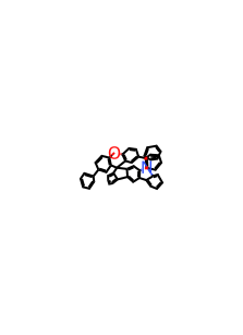 c1ccc(-c2ccc3c(c2)C2(c4cc(-c5ccccc5)ccc4O3)c3ccccc3-c3cc4c5ccccc5n(-c5ccccc5)c4cc32)cc1